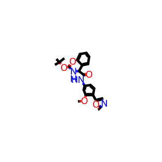 COc1cc(NC(=O)C(NC(=O)OC(C)(C)C)c2ccccc2)ccc1-c1cnco1